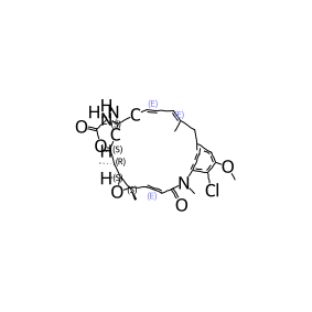 COc1cc2cc(c1Cl)N(C)C(=O)/C=C/[C@]1(C)O[C@H]1[C@H](C)[C@@H]1C[C@](N)(C/C=C/C=C(\C)C2)NC(=O)O1